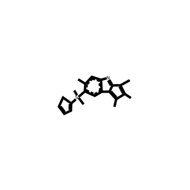 CC1=C(C)C(C)=C2C1=Nc1cc(C)c([Si](C)(C)C3=CC=CC3)cc12